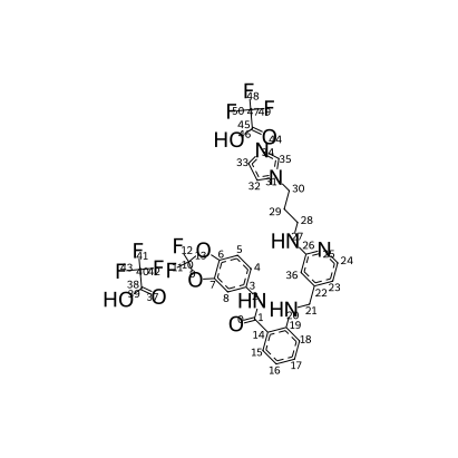 O=C(Nc1ccc2c(c1)OC(F)(F)O2)c1ccccc1NCc1ccnc(NCCCn2ccnc2)c1.O=C(O)C(F)(F)F.O=C(O)C(F)(F)F